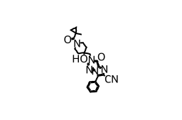 CC1(C(=O)N2CCC(O)(Cn3cnn4c(-c5ccccc5)c(C#N)nc4c3=O)CC2)CC1